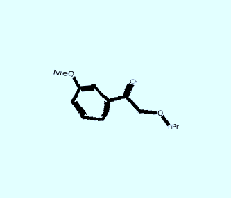 CCCOCC(=O)c1cccc(OC)c1